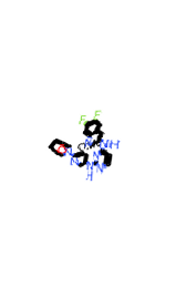 COc1cc(Nc2nccc(Nc3cnc4cc(F)c(F)cc4c3)n2)cnc1N1CC2CCC(C1)O2